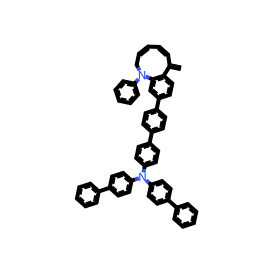 C=C1/C=C\C=C/CN(c2ccccc2)c2cc(-c3ccc(-c4ccc(N(c5ccc(-c6ccccc6)cc5)c5ccc(-c6ccccc6)cc5)cc4)cc3)ccc21